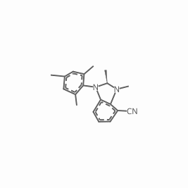 Cc1cc(C)c(N2c3cccc(C#N)c3N(C)[C@@H]2C)c(C)c1